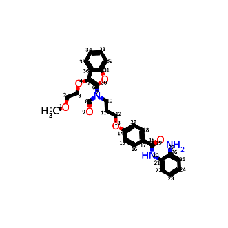 COCCOc1c(N(C=O)CCCOc2ccc(C(=O)Nc3ccccc3N)cc2)oc2ccccc12